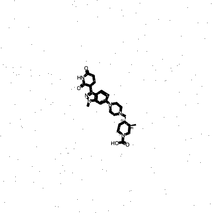 C[C@H]1CN(C(=O)O)CC[C@@H]1CN1CCN(c2ccc3c(C4CCC(=O)NC4=O)nn(C)c3c2)CC1